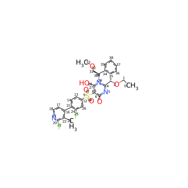 CCOCc1nc(=O)c(S(=O)(=O)c2ccc(-c3ccnc(F)c3C)c(F)c2)c(O)n1[C@@H](COC)c1ccccc1